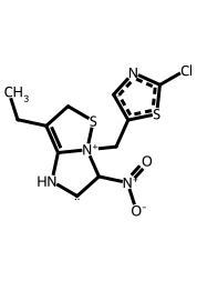 CCC1=C2N[C]C([N+](=O)[O-])[N+]2(Cc2cnc(Cl)s2)SC1